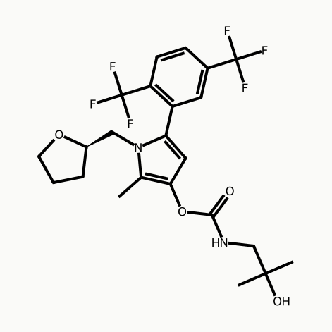 Cc1c(OC(=O)NCC(C)(C)O)cc(-c2cc(C(F)(F)F)ccc2C(F)(F)F)n1C[C@H]1CCCO1